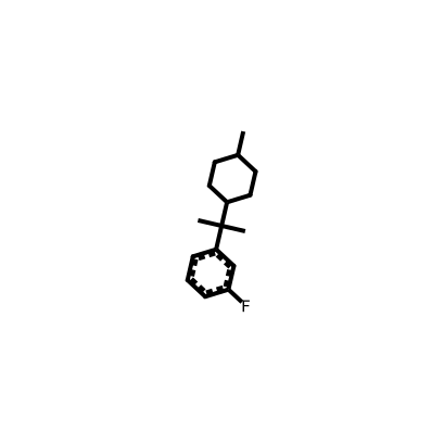 CC1CCC(C(C)(C)c2cccc(F)c2)CC1